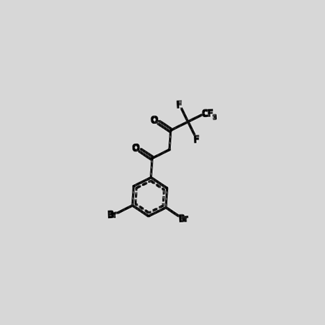 O=C(CC(=O)C(F)(F)C(F)(F)F)c1cc(Br)cc(Br)c1